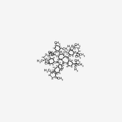 Cc1cc(C)c(-c2cc3c4c(c2)N(c2ccc5c(c2)C(C)(C)CCC5(C)C)c2c(oc5cc6c(cc25)C2(C)CCC6(C)CC2)B4c2ccc(C(C)(C)C)cc2N3c2cc3c(cc2C)C(C)(C)CCC3(C)C)c(C)c1